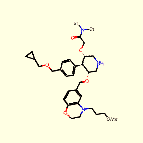 CCN(CC)C(=O)CO[C@@H]1CNC[C@H](OCc2ccc3c(c2)N(CCCOC)CCO3)[C@H]1c1ccc(COCC2CC2)cc1